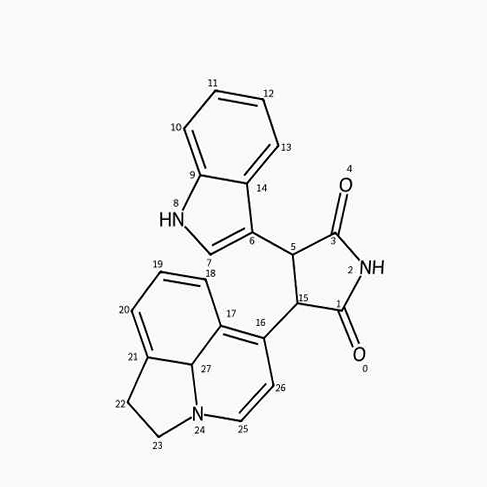 O=C1NC(=O)C(c2c[nH]c3ccccc23)C1C1=C2C=CC=C3CCN(C=C1)C32